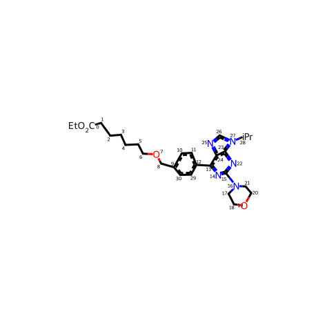 CCOC(=O)CCCCCCOCc1ccc(-c2nc(N3CCOCC3)nc3c2ncn3C(C)C)cc1